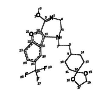 COC1=NCCN(CCC2CCC3(CC2)OCCO3)c2c1oc1ccc(C(F)(F)F)cc21